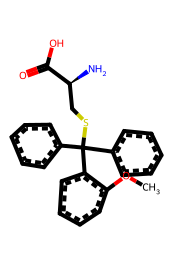 COc1ccccc1C(SC[C@H](N)C(=O)O)(c1ccccc1)c1ccccc1